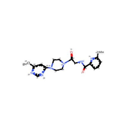 COc1cccc(C(=O)NCC(=O)N2CCN(c3cc(OCC(C)C)ncn3)CC2)n1